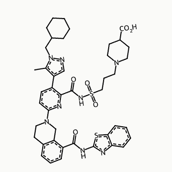 Cc1c(-c2ccc(N3CCc4cccc(C(=O)Nc5nc6ccccc6s5)c4C3)nc2C(=O)NS(=O)(=O)CCCN2CCC(C(=O)O)CC2)cnn1CC1CCCCC1